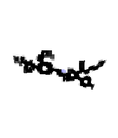 COc1cc(/C=C/c2nc(C(=O)OCCBr)c(-c3ccc(F)cc3)[nH]2)ccc1-n1cnc(C)c1